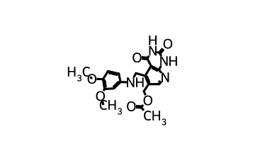 COc1ccc(NCc2c(COC(C)=O)cnc3[nH]c(=O)[nH]c(=O)c23)cc1OC